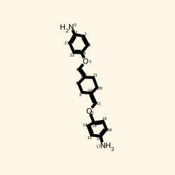 Nc1ccc(OC=C2CCC(=COc3ccc(N)cc3)CC2)cc1